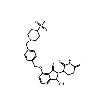 CS(=O)(=O)C1CCN(Cc2ccc(COc3cccc4c3C(=O)N(C3CCC(=O)NC3=O)C4O)cc2)CC1